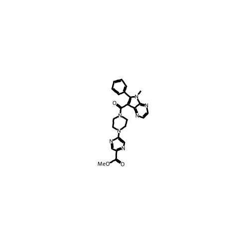 COC(=O)c1cnc(N2CCN(C(=O)c3c(-c4ccccc4)n(C)c4nccnc34)CC2)cn1